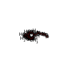 C[C@@H](O)[C@@H]1NC(=O)[C@@H](NC[C@H]2CC[C@H](c3nnc(-c4ccc(-c5ccc(N6CCC(OC7CCCCC7)CC6)nc5)cc4)s3)CC2)C[C@@H](O)CNC(=O)[C@@H]2[C@@H](O)[C@@H](C)CN2C(=O)[C@H]([C@H](O)CC(N)=O)NC(=O)[C@H]([C@H](O)Cc2ccc(O)c(OS(=O)(=O)O)c2)NC(=O)[C@@H]2C[C@@H](O)CN2C1=O